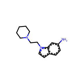 Nc1ccc2ccn(CCN3CCCCC3)c2c1